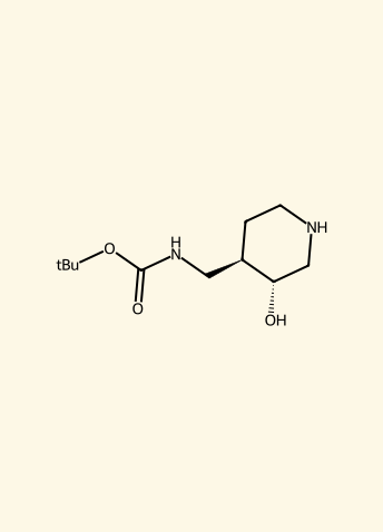 CC(C)(C)OC(=O)NC[C@H]1CCNC[C@@H]1O